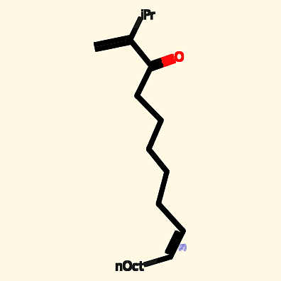 C=C(C(=O)CCCCC/C=C\CCCCCCCC)C(C)C